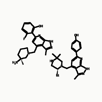 CC[C@@H]1CNC(C)(C)CN1Cc1cc(-c2ccc(O)cc2)nc2[nH]nc(C)c12.Cc1n[nH]c2nc(-c3c(O)cccc3F)cc(CN3CCC[C@](C)(N)C3)c12